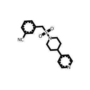 N#Cc1cccc(CS(=O)(=O)N2CCC(c3ccncc3)CC2)c1